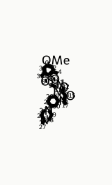 COc1cc(C)c(S(=O)(=O)Cc2noc(C(=O)N(C)[C@H]3CCC[C@@H](N4CCN(C)CC4)C3)n2)c(C)c1